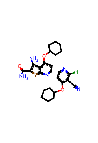 N#Cc1c(OC2CCCCC2)ccnc1Cl.NC(=O)c1sc2nccc(OC3CCCCC3)c2c1N